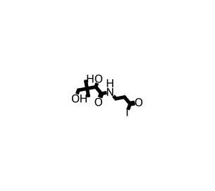 CC(C)(CO)C(O)C(=O)NCCC(=O)I